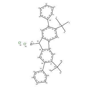 CC(C)(C)c1cc2c(cc1-c1ccccc1)[CH]([Zr+2])c1cc(-c3ccccc3)c(C(C)(C)C)cc1-2.[Cl-].[Cl-]